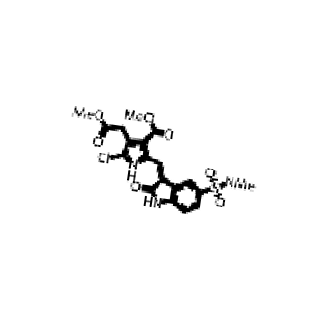 CNS(=O)(=O)c1ccc2c(c1)C(=Cc1[nH]c(Cl)c(CC(=O)OC)c1C(=O)OC)C(=O)N2